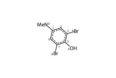 CNc1cc(Br)c(O)c(Br)c1